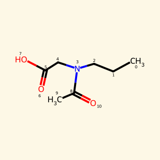 CCCN(CC(=O)O)C(C)=O